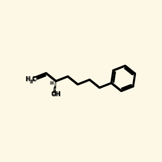 C=C[C@@H](O)CCCCc1ccccc1